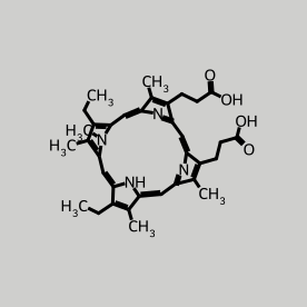 CCc1c(C)c2cc3nc(cc4nc(cc5c(CC)c(C)c(cc1[nH]2)n5C)C(C)=C4CCC(=O)O)C(CCC(=O)O)=C3C